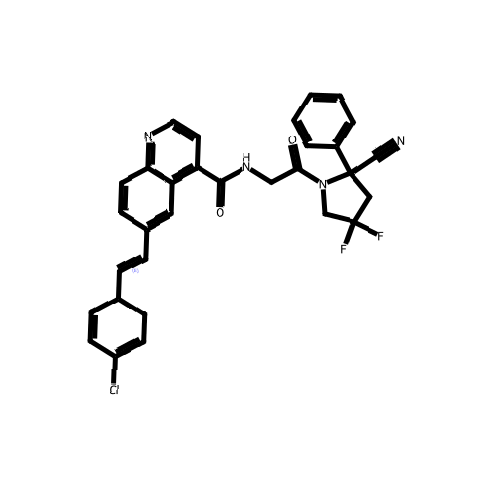 N#CC1(c2ccccc2)CC(F)(F)CN1C(=O)CNC(=O)c1ccnc2ccc(/C=C/C3C=CC(Cl)=CC3)cc12